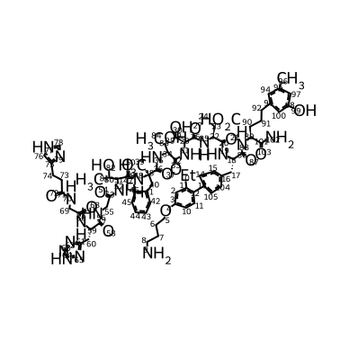 CCc1cc(OCCCCN)ccc1-c1ccc(C[C@H](NC(=O)[C@H](CC(=O)O)NC(=O)[C@H](CO)NC(=O)[C@@H](NC(=O)[C@](C)(Cc2ccccc2F)NC(=O)[C@@H](NC(=O)CNC(=O)[C@H](Cc2nn[nH]n2)NC(=O)CNC(=O)CCc2c[nH]cn2)[C@@H](C)O)[C@@H](C)O)C(=O)N[C@@H](CCCc2cc(C)cc(O)c2)C(N)=O)cc1